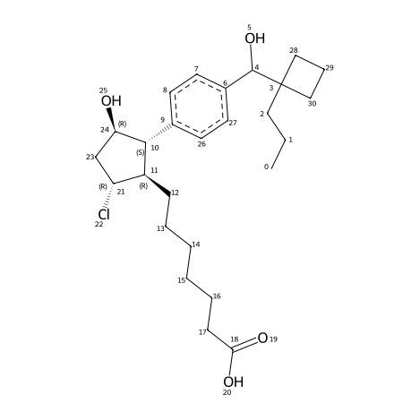 CCCC1(C(O)c2ccc([C@@H]3[C@@H](CCCCCCC(=O)O)[C@H](Cl)C[C@H]3O)cc2)CCC1